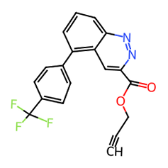 C#CCOC(=O)c1cc2c(-c3ccc(C(F)(F)F)cc3)cccc2nn1